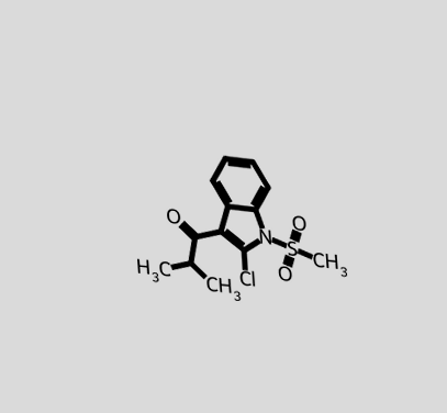 CC(C)C(=O)c1c(Cl)n(S(C)(=O)=O)c2ccccc12